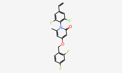 C=Cc1cc(F)c(-n2c(C)cc(OCc3ccc(F)cc3F)cc2=O)c(F)c1